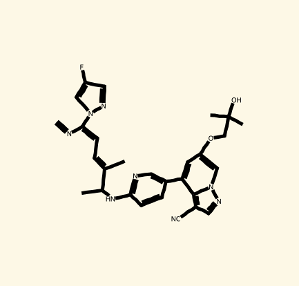 C=N/C(=C\C=C(/C)C(C)Nc1ccc(-c2cc(OCC(C)(C)O)cn3ncc(C#N)c23)cn1)n1cc(F)cn1